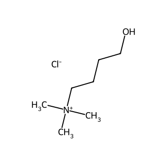 C[N+](C)(C)CCCCO.[Cl-]